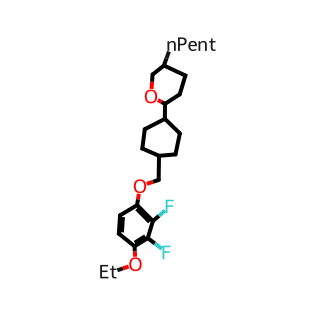 CCCCCC1CCC(C2CCC(COc3ccc(OCC)c(F)c3F)CC2)OC1